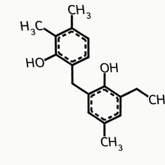 CCc1cc(C)cc(Cc2ccc(C)c(C)c2O)c1O